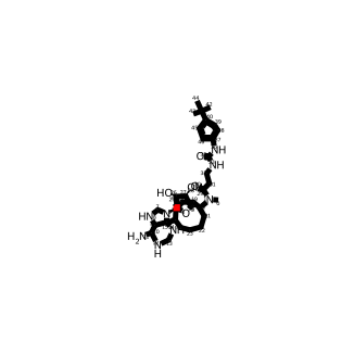 CN(C[C@H]1O[C@@H](N2CNC3C(N)NCNC32C2CCCCCCCC2)[C@H](O)[C@@H]1O)C(=O)CCNC(=O)Nc1ccc(C(C)(C)C)cc1